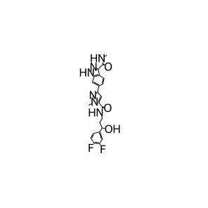 CNC(=O)c1n[nH]c2cc(-c3cc(C(=O)NCCC(O)c4ccc(F)c(F)c4)n(C)n3)ccc12